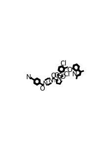 Cc1cc(C)c2cccc(OCc3c(Cl)ccc(S(=O)(=O)N4CCC[C@H]4C(=O)N4CCN(C(=O)c5ccc(C#N)cc5)CC4)c3Cl)c2n1